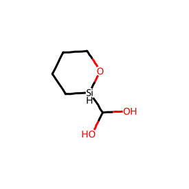 OC(O)[SiH]1CCCCO1